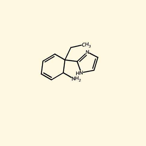 CCC1(c2ncc[nH]2)C=CC=CC1N